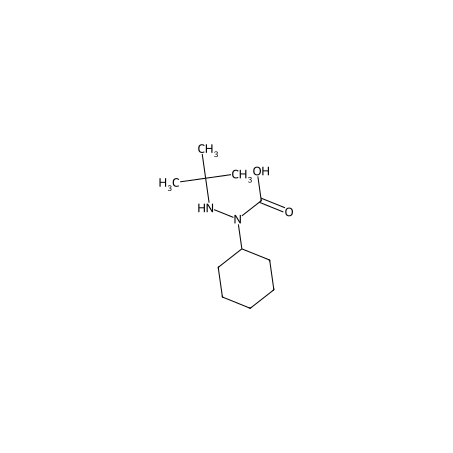 CC(C)(C)NN(C(=O)O)C1CCCCC1